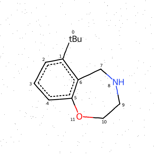 CC(C)(C)c1cccc2c1CNCCO2